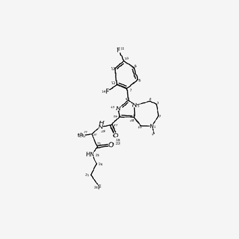 CN1CCCn2c(-c3ccc(F)cc3F)nc(C(=O)NC(C(=O)NCCF)C(C)(C)C)c2C1